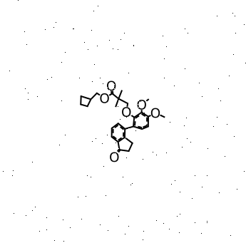 COc1ccc(-c2cccc3c2CCC3=O)c(OCC(C)(C)C(=O)OCC2CCC2)c1OC